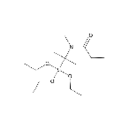 C=CC(=O)N(C)C(C)(C)[Si](OCC)(OCC)OCC